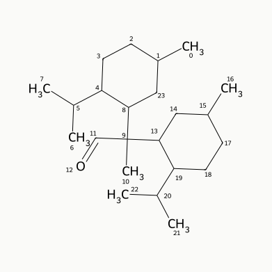 CC1CCC(C(C)C)C(C(C)(C=O)C2CC(C)CCC2C(C)C)C1